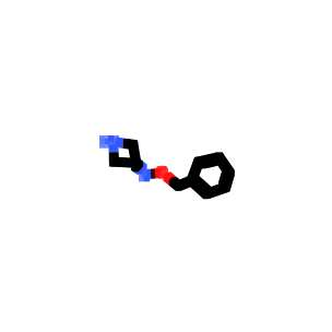 c1ccc(CON=C2CNC2)cc1